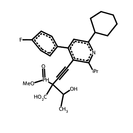 CO[PH](=O)C(C#Cc1c(-c2ccc(F)cc2)cc(C2CCCCC2)nc1C(C)C)(C(=O)O)C(C)O